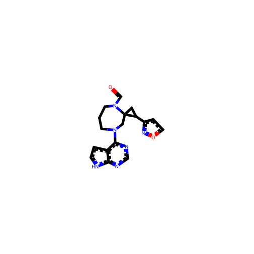 O=CN1CCCN(c2ncnc3[nH]ccc23)CC12CC2c1ccon1